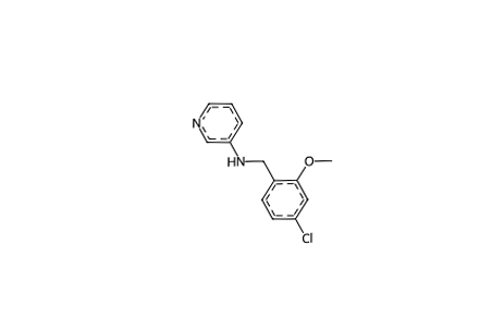 COc1cc(Cl)ccc1CNc1cccnc1